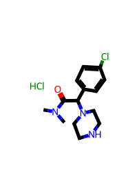 CN(C)C(=O)C(c1ccc(Cl)cc1)N1CCNCC1.Cl